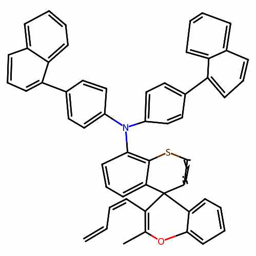 C=C/C=C\C1=C(C)Oc2ccccc2C12c1ccccc1Sc1c(N(c3ccc(-c4cccc5ccccc45)cc3)c3ccc(-c4cccc5ccccc45)cc3)cccc12